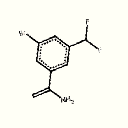 C=C(N)c1cc(Br)cc(C(F)F)c1